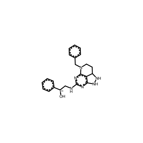 O[C@H](CNc1nc2c3c(n1)N(Cc1ccccc1)CCC3NN2)c1ccccc1